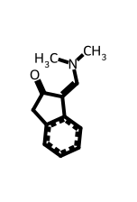 CN(C)/C=C1\C(=O)Cc2ccccc21